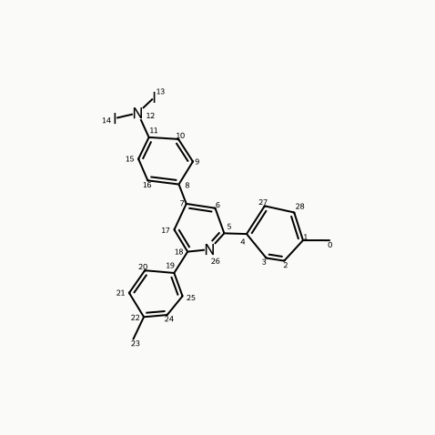 Cc1ccc(-c2cc(-c3ccc(N(I)I)cc3)cc(-c3ccc(C)cc3)n2)cc1